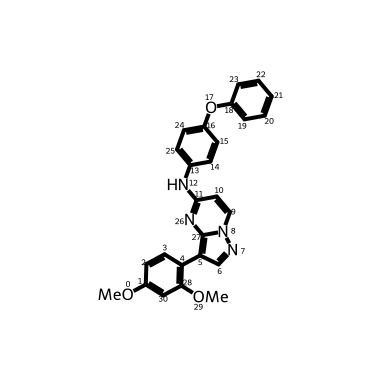 COc1ccc(-c2cnn3ccc(Nc4ccc(Oc5ccccc5)cc4)nc23)c(OC)c1